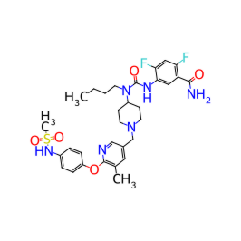 CCCCN(C(=O)Nc1cc(C(N)=O)c(F)cc1F)C1CCN(Cc2cnc(Oc3ccc(NS(C)(=O)=O)cc3)c(C)c2)CC1